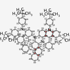 CC(C)(C)c1ccc(N(c2ccc(C(C)(C)C)cc2)c2ccc3c(c2)N(c2c(-c4ccccc4)cccc2-c2ccccc2)c2cc(-c4ccccc4)cc4c2B3c2ccc(N(c3ccc(C(C)(C)C)cc3)c3ccc(C(C)(C)C)cc3)cc2C4(c2ccccc2)c2ccccc2)cc1